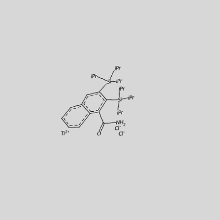 CC(C)[Si](c1cc2ccccc2c(C(N)=O)c1[Si](C(C)C)(C(C)C)C(C)C)(C(C)C)C(C)C.[Cl-].[Cl-].[Ti+2]